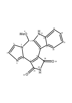 COCn1ccnc1C1=C(c2c[nH]c3ccccc23)C(=O)NC1=O